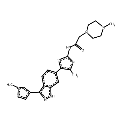 Cc1nc(NC(=O)CN2CCN(C)CC2)sc1-c1ccc2c(-c3cnn(C)c3)n[nH]c2c1